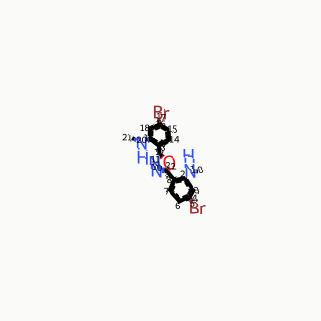 CNc1cc(Br)ccc1-c1nnc(-c2ccc(Br)cc2NC)o1